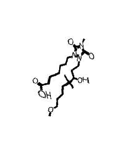 COCCCCC(C)(C)C(O)CCn1c(=O)n(C)c(=O)n1CCCCCCC(=O)O